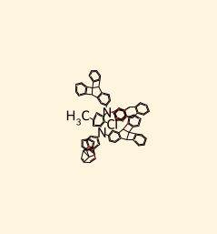 Cc1cc(N(c2ccc3c(c2)C2c4ccccc4C3c3ccccc32)c2ccc3c(c2)C2c4ccccc4C24c2ccccc2C34)c(Cl)c(N(c2ccc3c(c2)C2c4ccccc4C24c2ccccc2C34)c2ccc3c(c2)C2c4ccccc4C24C2=CC34C=CC=C2)c1